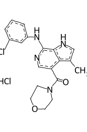 Cc1c[nH]c2c(Nc3cccc(Cl)c3)ncc(C(=O)N3CCOCC3)c12.Cl